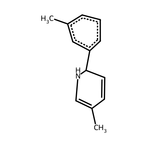 CC1=CNC(c2cccc(C)c2)C=C1